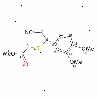 COC(=O)CSC(CC#N)c1ccc(OC)c(OC)c1